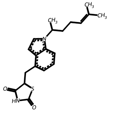 CC(C)=CCCC(C)n1ccc2c(CC3SC(=O)NC3=O)cccc21